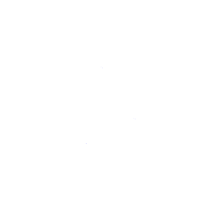 c1ccc(-n2c3ccccc3c3cc4c(cc32)c(-c2ccc(-c3ccc5ccccc5n3)cc2)nc2ccccc24)cc1